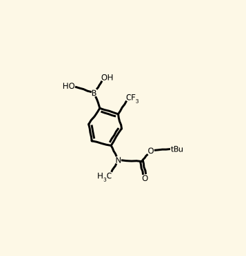 CN(C(=O)OC(C)(C)C)c1ccc(B(O)O)c(C(F)(F)F)c1